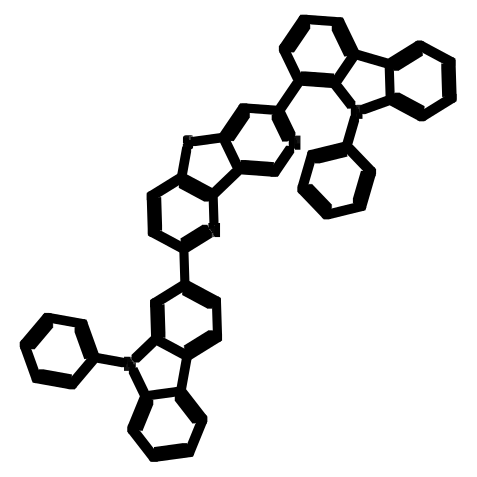 c1ccc(-n2c3ccccc3c3ccc(-c4ccc5sc6cc(-c7cccc8c9ccccc9n(-c9ccccc9)c78)ncc6c5n4)cc32)cc1